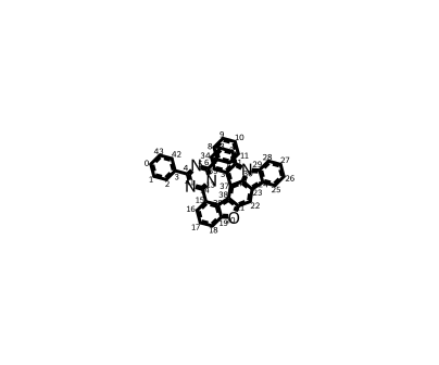 c1ccc(-c2nc(-c3ccccc3)nc(-c3cccc4oc5cc6c7ccccc7n7c8ccccc8c(c5c34)c67)n2)cc1